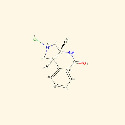 O=C1N[C@H]2CN(Cl)C[C@@H]2c2ccccc21